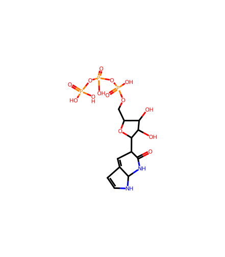 O=C1NC2NC=CC2=CC1C1OC(COP(=O)(O)OP(=O)(O)OP(=O)(O)O)C(O)C1O